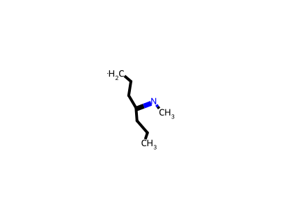 [CH2]CCC(CCC)=NC